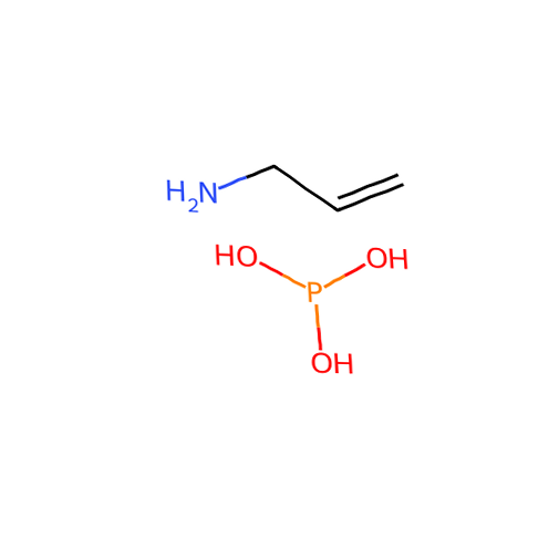 C=CCN.OP(O)O